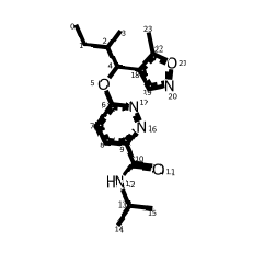 CCC(C)C(Oc1ccc(C(=O)NC(C)C)nn1)c1cnoc1C